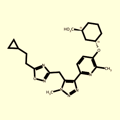 Cc1nc(-c2nnn(C)c2Cc2noc(CCC3CC3)n2)ccc1O[C@H]1CCC[C@H](C(=O)O)C1